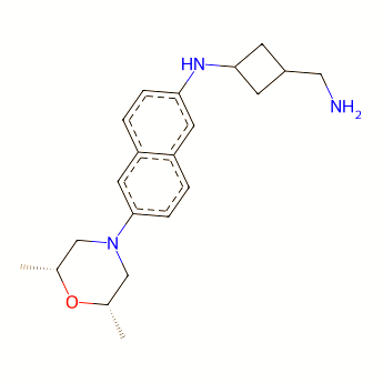 C[C@@H]1CN(c2ccc3cc(NC4CC(CN)C4)ccc3c2)C[C@H](C)O1